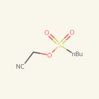 CCCCS(=O)(=O)OCC#N